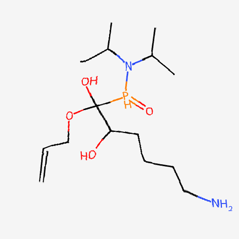 C=CCOC(O)(C(O)CCCCN)[PH](=O)N(C(C)C)C(C)C